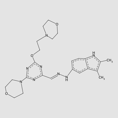 Cc1[nH]c2ccc(NN=Cc3nc(OCCN4CCOCC4)nc(N4CCOCC4)n3)cc2c1C